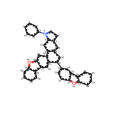 c1ccc(-n2ccc3cc4cc(-c5ccc6oc7ccccc7c6c5)c5cc6c(cc5c4cc32)oc2ccccc26)cc1